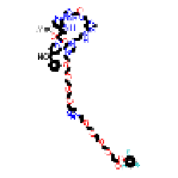 COc1cnc(-n2cnc(C(=O)NCc3cc(NCCCN4CCN(CCOCCOCCOCCOCc5cn(CCOCCOCCOCCOCCC(=O)Oc6c(F)cc(F)cc6F)nn5)CC4)ncn3)n2)c2[nH]cc(C(=O)C(=O)N3CCC(=C(C#N)c4ccccc4)CC3)c12